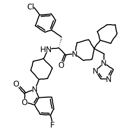 O=C([C@@H](Cc1ccc(Cl)cc1)NC1CCC(n2c(=O)oc3cc(F)ccc32)CC1)N1CCC(Cn2cncn2)(C2CCCCC2)CC1